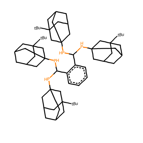 CC(C)(C)C12CC3CC(CC(PC(PC45CC6CC(C4)CC(C(C)(C)C)(C6)C5)c4ccccc4C(PC45CC6CC(C4)CC(C(C)(C)C)(C6)C5)PC45CC6CC(C4)CC(C(C)(C)C)(C6)C5)(C3)C1)C2